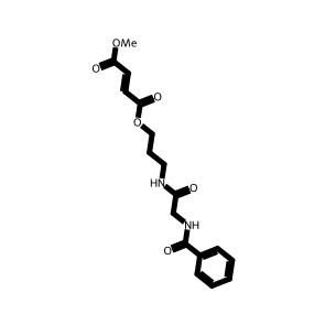 COC(=O)/C=C/C(=O)OCCCNC(=O)CNC(=O)c1ccccc1